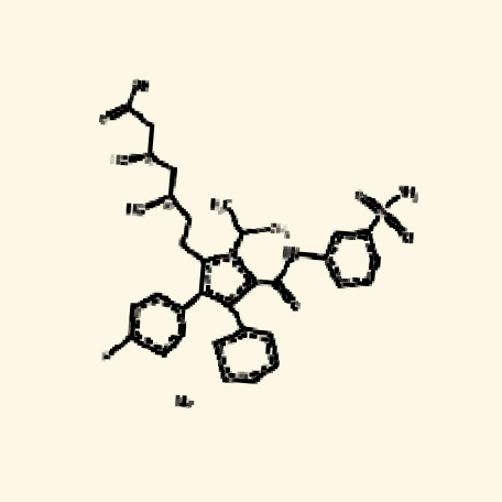 CC(C)n1c(CC[C@@H](O)C[C@@H](O)CC(=O)O)c(-c2ccc(F)cc2)c(-c2ccccc2)c1C(=O)Nc1cccc(S(N)(=O)=O)c1.[Na]